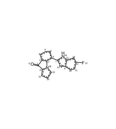 O=C1c2cccc(-c3nc4ccc(F)cc4[nH]3)c2-n2cccc21